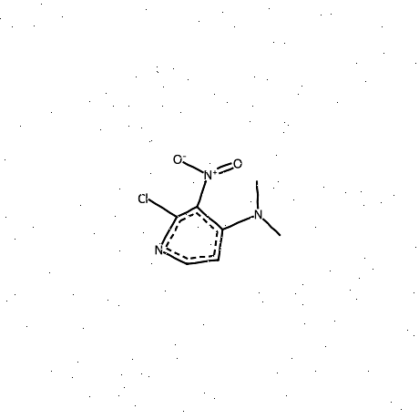 CN(C)c1ccnc(Cl)c1[N+](=O)[O-]